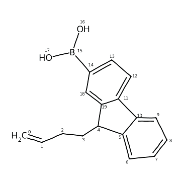 C=CCCC1c2ccccc2-c2ccc(B(O)O)cc21